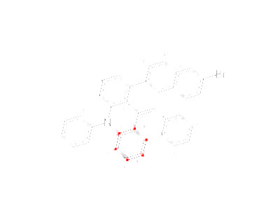 Brc1ccc2cc(-c3cccc(N(c4ccccc4)c4ccccc4)c3C(=Cc3ccccc3)c3ccccc3)ccc2c1